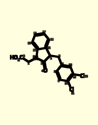 O=C(O)CN1C(=O)C(Cc2ccc(Cl)c(Cl)c2)c2ccccc21